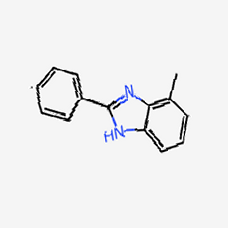 Cc1cccc2[nH]c(-c3cc[c]cc3)nc12